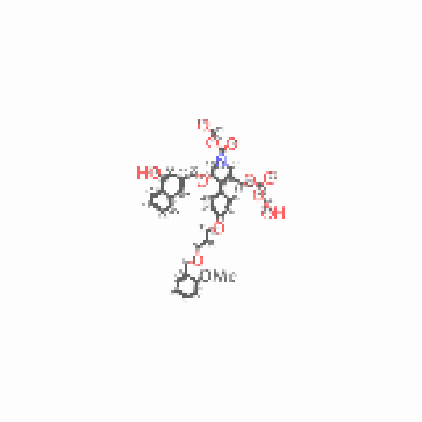 COc1ccccc1COCCCOc1ccc(C2C(COC(=O)OCO)CN(C(=O)OCO)CC2OCc2cc(O)c3ccccc3c2)cc1